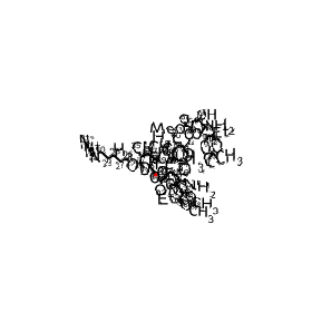 CC[C@H]1OC(C)(C)O[C@H]1C1O[C@@](OCC2O[C@H](O[C@@H]3C[C@](OCC4O[C@H](OCCCCCN=[N+]=[N-])C(C)[C@@H](C)[C@H]4C)(C(=O)OC)OC([C@@H]4OC(C)(C)O[C@@H]4CC)[C@@H]3N)C(C)[C@@H](C)[C@H]2C)(C(=O)OC)C[C@@H](O)[C@H]1N